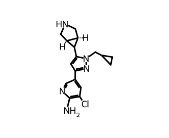 Nc1ncc(-c2cc(C3[C@H]4CNC[C@@H]34)n(CC3CC3)n2)cc1Cl